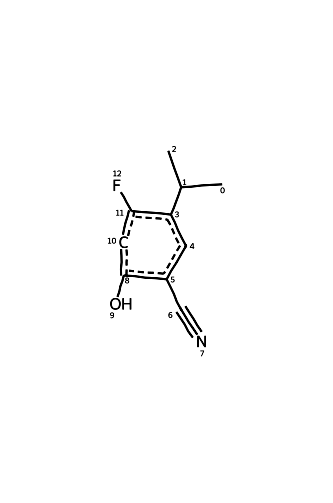 CC(C)c1cc(C#N)c(O)cc1F